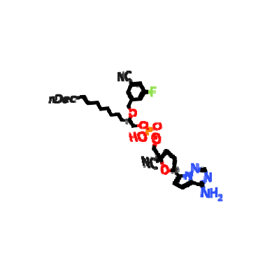 CCCCCCCCCCCCCCCCCC[C@@H](COP(=O)(O)OC[C@]1(C#N)CC[C@H](c2ccc3c(N)ncnn23)O1)OCc1cc(F)cc(C#N)c1